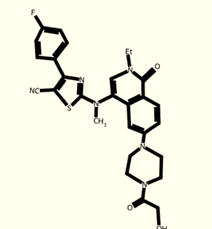 CCn1cc(N(C)c2nc(-c3ccc(F)cc3)c(C#N)s2)c2cc(N3CCN(C(=O)CO)CC3)ccc2c1=O